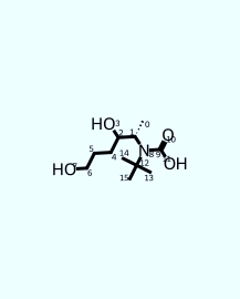 C[C@@H](C(O)CCCO)N(C(=O)O)C(C)(C)C